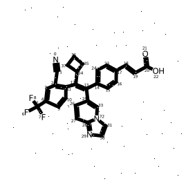 N#Cc1cc(C(F)(F)F)ccc1C(=C(c1ccc(C=CC(=O)O)cc1)c1ccc2nccn2c1)C1CCC1